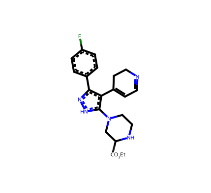 CCOC(=O)C1CN(c2[nH]nc(-c3ccc(F)cc3)c2C2=CC=NCC2)CCN1